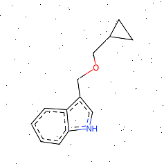 c1ccc2c(COCC3CC3)c[nH]c2c1